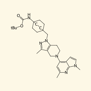 Cc1cc(N2CCc3c(c(C)nn3CC34CCC(NC(=O)OC(C)(C)C)(CC3)CC4)C2)c2ccn(C)c2n1